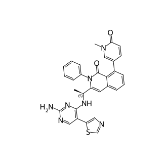 C[C@H](Nc1nc(N)ncc1-c1cncs1)c1cc2cccc(-c3ccc(=O)n(C)c3)c2c(=O)n1-c1ccccc1